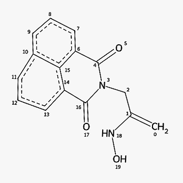 C=C(CN1C(=O)c2cccc3cccc(c23)C1=O)NO